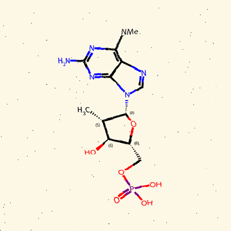 CNc1nc(N)nc2c1ncn2[C@@H]1O[C@H](COP(=O)(O)O)[C@@H](O)[C@@H]1C